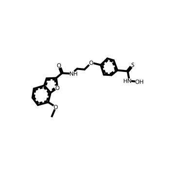 COc1cccc2cc(C(=O)NCCOc3ccc(C(=S)NO)cc3)oc12